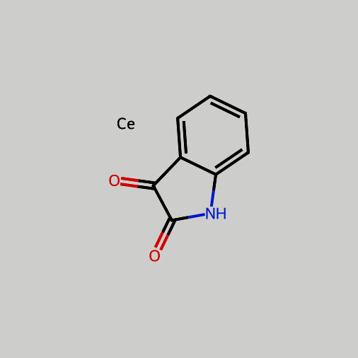 O=C1Nc2ccccc2C1=O.[Ce]